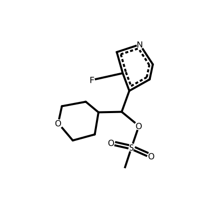 CS(=O)(=O)OC(c1ccncc1F)C1CCOCC1